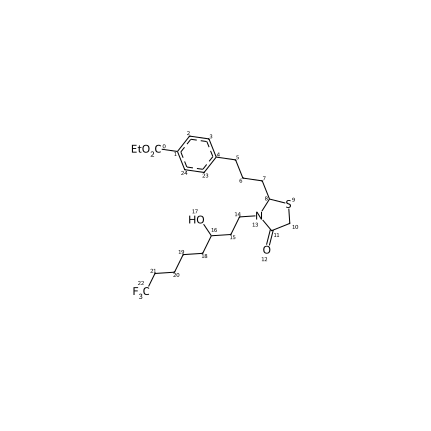 CCOC(=O)c1ccc(CCCC2SCC(=O)N2CCC(O)CCCCC(F)(F)F)cc1